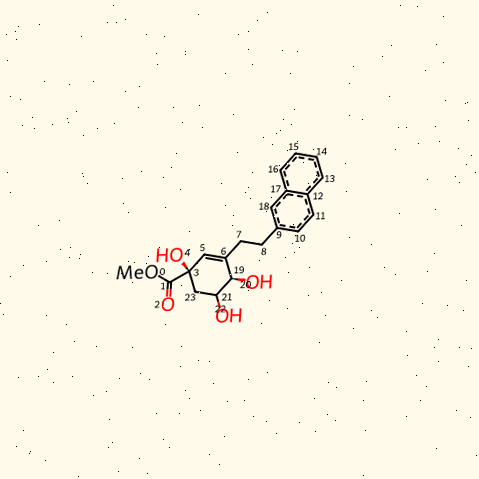 COC(=O)[C@]1(O)C=C(CCc2ccc3ccccc3c2)[C@@H](O)C(O)C1